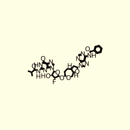 CC(C)C(=O)Nc1nc2c(ncn2[C@@H]2OC(OC3CC[C@H]4C[C@H](n5cnc6c(NC(=O)c7ccccc7)ncnc65)O[C@@H]4CO3)[C@@H](F)[C@H]2O)c(=O)[nH]1